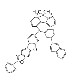 CC1(C)c2ccccc2-c2c(N(c3cccc(-c4ccc5ccccc5c4)c3)c3ccc4c(c3)oc3cc5oc(-c6ccccc6)nc5cc34)cccc21